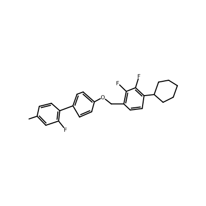 Cc1ccc(-c2ccc(OCc3ccc(C4CCCCC4)c(F)c3F)cc2)c(F)c1